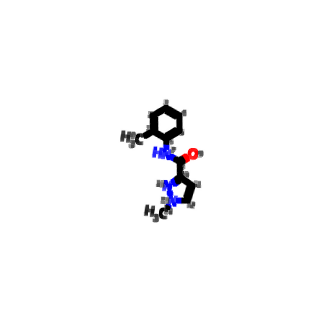 Cc1ccccc1NC(=O)c1ccn(C)n1